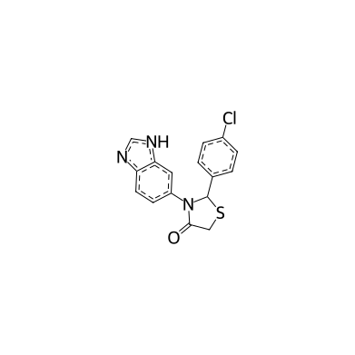 O=C1CSC(c2ccc(Cl)cc2)N1c1ccc2nc[nH]c2c1